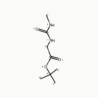 CNC(=O)NCC(=O)OC(C)(C)C